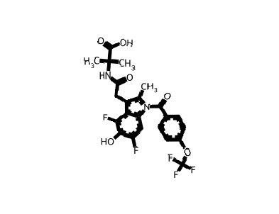 Cc1c(CC(=O)NC(C)(C)C(=O)O)c2c(F)c(O)c(F)cc2n1C(=O)c1ccc(OC(F)(F)F)cc1